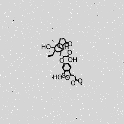 C=C[C@]1(C)C[C@@H](C(Oc2ccc3c(c2)B(O)OC3CC(=O)OC)C(=O)O)[C@@]2(C)[C@H](C)CC[C@]3(CCC(=O)[C@H]32)[C@@H](C)[C@@H]1O